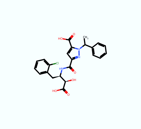 CC(c1ccccc1)n1nc(C(=O)N[C@H](Cc2ccccc2Cl)[C@@H](O)C(=O)O)cc1C(=O)O